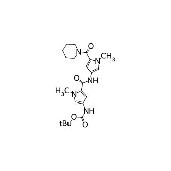 Cn1cc(NC(=O)OC(C)(C)C)cc1C(=O)Nc1cc(C(=O)N2CCCCC2)n(C)c1